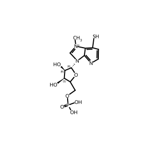 C[n+]1cn([C@@H]2OC(COP(=O)(O)O)[C@@H](O)[C@H]2O)c2nccc(S)c21